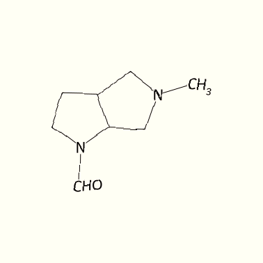 CN1CC2CCN(C=O)C2C1